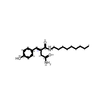 CCCCCCCCCNC(=O)/C(=C/c1ccc(O)cc1)CC(N)=O